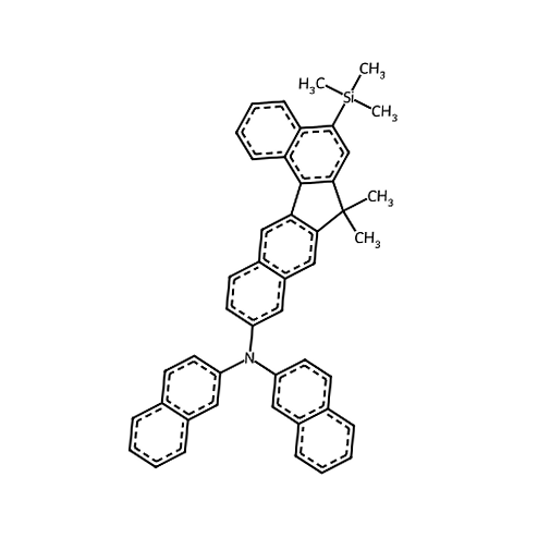 CC1(C)c2cc3cc(N(c4ccc5ccccc5c4)c4ccc5ccccc5c4)ccc3cc2-c2c1cc([Si](C)(C)C)c1ccccc21